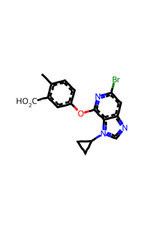 Cc1ccc(Oc2nc(Br)cc3ncn(C4CC4)c23)cc1C(=O)O